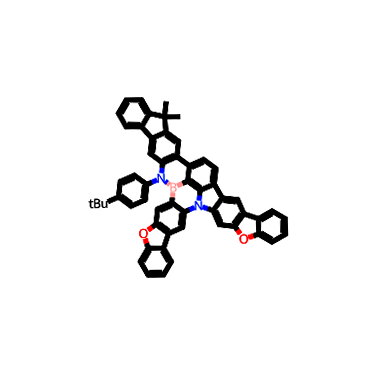 CC(C)(C)c1ccc(N2B3c4cc5oc6ccccc6c5cc4-n4c5cc6oc7ccccc7c6cc5c5ccc(c3c54)-c3cc4c(cc32)-c2ccccc2C4(C)C)cc1